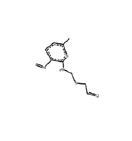 C=Nc1ccc(C)nc1NCSCC=O